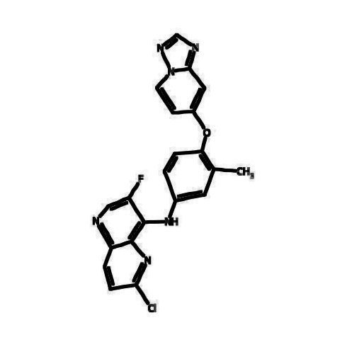 Cc1cc(Nc2c(F)cnc3ccc(Cl)nc23)ccc1Oc1ccn2ncnc2c1